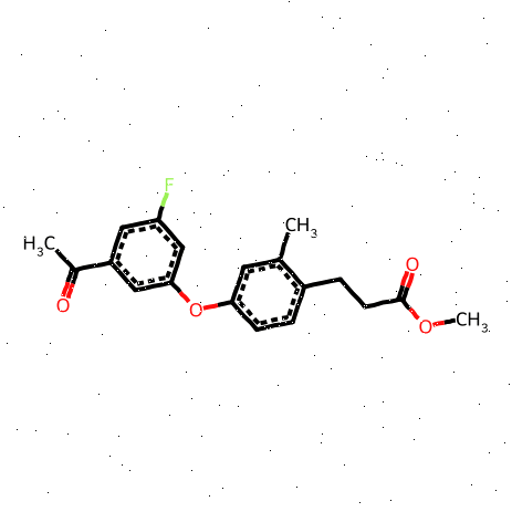 COC(=O)CCc1ccc(Oc2cc(F)cc(C(C)=O)c2)cc1C